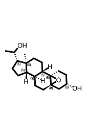 CC(O)[C@H]1CC[C@H]2[C@@H]3CC[C@@]45C[C@@H](O)CC[C@@]4(O5)[C@H]3CC[C@]12C